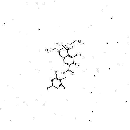 CCCC[C@]1(C)C(=O)c2c(O)c(=O)c(C(=O)NCc3c(F)cc(F)cc3F)cn2C[C@@H]1OC